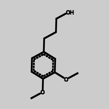 COc1ccc(CCCO)cc1OC